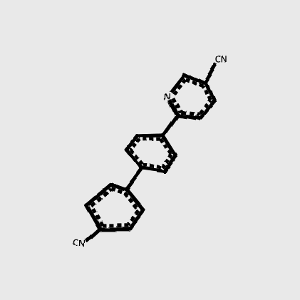 [C-]#[N+]c1ccc(-c2ccc(-c3ccc(C#N)cn3)cc2)cc1